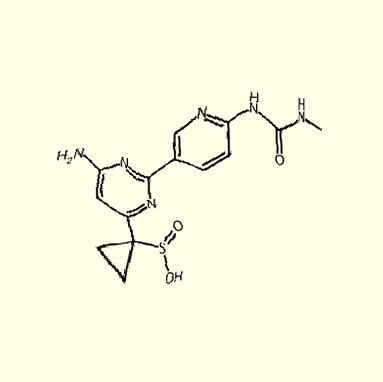 CNC(=O)Nc1ccc(-c2nc(N)cc(C3(S(=O)O)CC3)n2)cn1